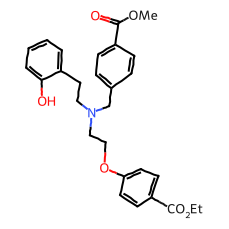 CCOC(=O)c1ccc(OCCN(CCc2ccccc2O)Cc2ccc(C(=O)OC)cc2)cc1